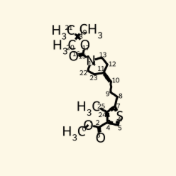 COC(=O)c1csc(CCC=C2CCN(C(=O)OC(C)(C)C)CC2)c1C